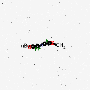 C=CCCOc1ccc(C2CCC(/C=C/c3ccc(-c4ccc(OCCCC)cc4)c(F)c3F)CC2)c(F)c1